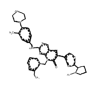 CC(=O)N1CCCC1c1nc(-c2cc3cnc(Nc4ccc(N5CCNCC5)c(C)c4)nc3n(Cc3ccccc3C(F)(F)F)c2=O)cs1